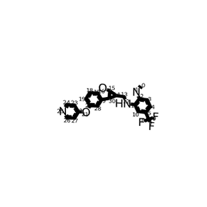 C=Nc1ccc(C(F)(F)F)cc1NCC1C2Oc3ccc(Oc4ccncc4)cc3C12